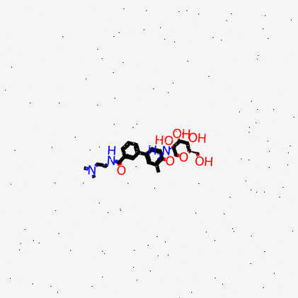 Cc1cc(-c2cccc(C(=O)NCCN(C)C)c2)ccc1O[C@H]1O[C@H](CO)[C@@H](O)[C@H](O)[C@]1(N)O